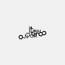 CC(C)C[C@H](NC(=O)c1ccc2ccccc2c1)C(=O)NC1CCN(Cc2ccccc2)CC1O